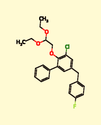 CCOC(COc1c(Cl)cc(Cc2ccc(F)cc2)cc1-c1ccccc1)OCC